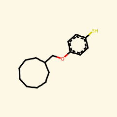 Sc1ccc(OCC2CCCCCCCC2)cc1